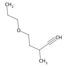 C#CC(C)CCOCC[CH2]